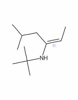 C/C=C(\CC(C)C)NC(C)(C)C